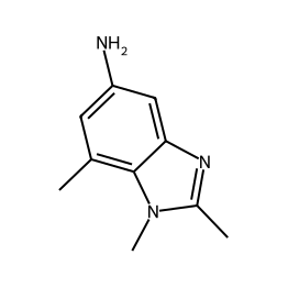 Cc1cc(N)cc2nc(C)n(C)c12